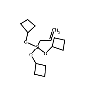 C=CC[Si](OC1CCC1)(OC1CCC1)OC1CCC1